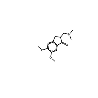 COc1cc2c(cc1OC)C(=O)C(CN(C)C)C2